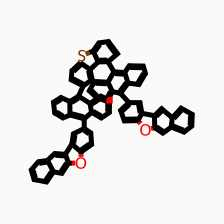 c1ccc2cc3c(cc2c1)oc1ccc(-c2c4ccccc4c(-c4ccc5sc6cccc(-c7c8ccccc8c(-c8ccc9oc%10cc%11ccccc%11cc%10c9c8)c8ccccc78)c6c5c4)c4ccccc24)cc13